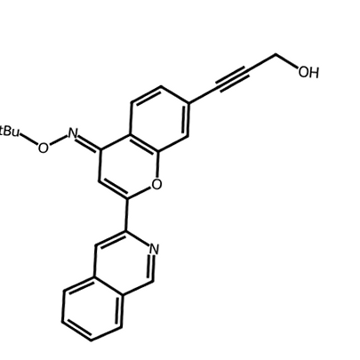 CC(C)(C)ON=c1cc(-c2cc3ccccc3cn2)oc2cc(C#CCO)ccc12